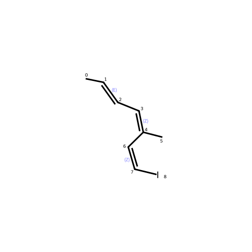 C/C=C/C=C(C)\C=C/I